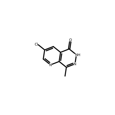 Cc1n[nH]c(=O)c2cc(Cl)cnc12